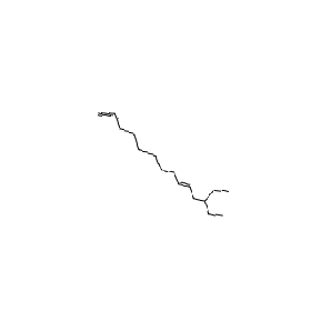 C=CCCCCCCC=CCC(CC)CC